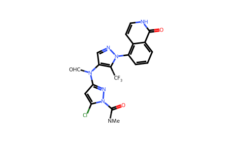 CNC(=O)n1nc(N(C=O)c2cnn(-c3cccc4c(=O)[nH]ccc34)c2C(F)(F)F)cc1Cl